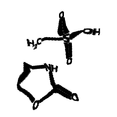 CS(=O)(=O)O.O=C1NCCO1